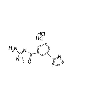 Cl.Cl.NC(N)=NC(=O)c1cccc(-c2nccs2)c1